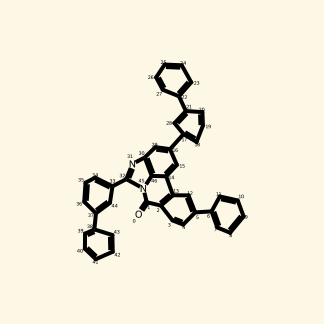 O=c1c2ccc(-c3ccccc3)cc2c2cc(-c3cccc(-c4ccccc4)c3)cc3nc(-c4cccc(-c5ccccc5)c4)n1c32